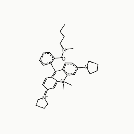 CCCCN(C)C(=O)c1ccccc1C1=C2C=CC(=[N+]3CCCC3)C=C2[Si](C)(C)c2cc(N3CCCC3)ccc21